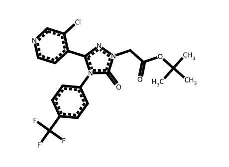 CC(C)(C)OC(=O)Cn1nc(-c2ccncc2Cl)n(-c2ccc(C(F)(F)F)cc2)c1=O